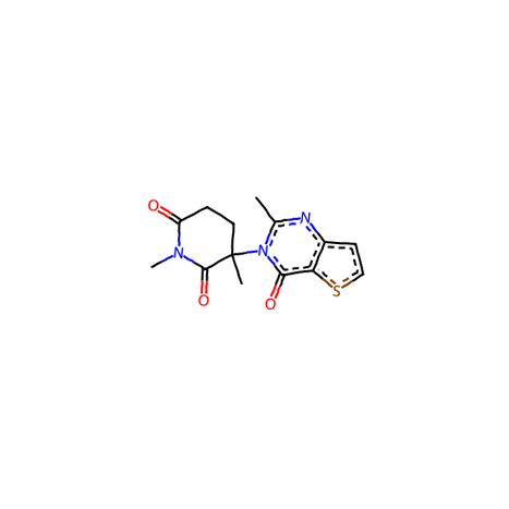 Cc1nc2ccsc2c(=O)n1C1(C)CCC(=O)N(C)C1=O